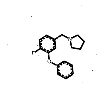 Fc1ccc(CN2CCCC2)cc1Oc1ccccc1